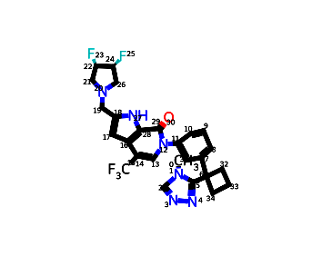 Cn1cnnc1C1(c2cccc(-n3cc(C(F)(F)F)c4cc(CN5C[C@@H](F)[C@@H](F)C5)[nH]c4c3=O)c2)CCC1